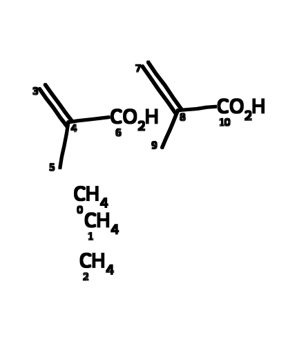 C.C.C.C=C(C)C(=O)O.C=C(C)C(=O)O